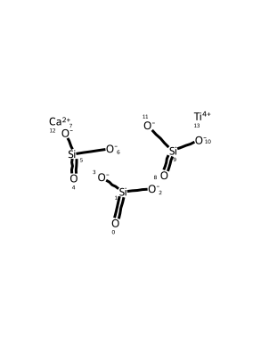 O=[Si]([O-])[O-].O=[Si]([O-])[O-].O=[Si]([O-])[O-].[Ca+2].[Ti+4]